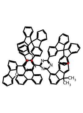 CC1(C)c2ccccc2-c2c(-c3nc(-c4ccc5c(c4)C4(c6ccccc6-c6ccccc64)c4ccccc4-5)nc(-c4cc(-c5ccccc5-c5ccccc5-c5nc(-c6ccc7c(c6)C6(c8ccccc8-c8ccccc86)c6ccccc6-7)nc(-c6cccc7c6oc6ccccc67)n5)cc5c4oc4ccccc45)n3)cccc21